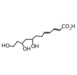 O=C(O)/C=C/C=C/CCC(O)CC(O)CCO